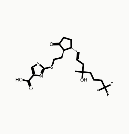 CC(O)(C/C=C/[C@H]1CCC(=O)[C@@H]1CCSc1nc(C(=O)O)cs1)CCCC(F)(F)F